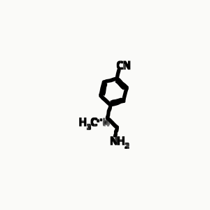 C[C@@H](CN)c1ccc(C#N)cc1